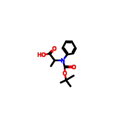 CC(C(=O)O)N(C(=O)OC(C)(C)C)c1ccccc1